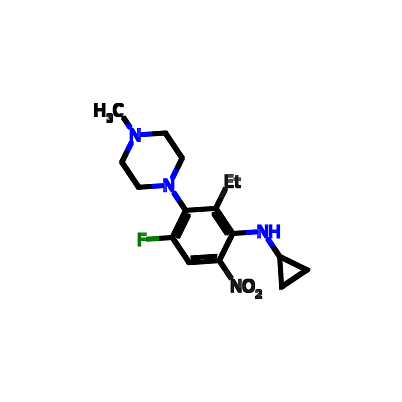 CCc1c(NC2CC2)c([N+](=O)[O-])cc(F)c1N1CCN(C)CC1